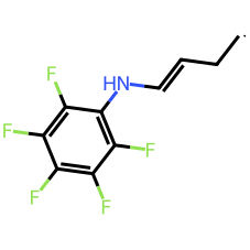 [CH2]CC=CNc1c(F)c(F)c(F)c(F)c1F